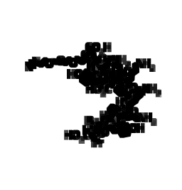 CCC(C)C(NC(=O)C(Cc1ccc(O)cc1)NC(=O)C1CCCN1C(=O)C(CCCN)NC(=O)C(CCCNN)NC(=O)C1CCCN1C(=O)C(CCCCN)NC(=O)C(CC(N)=O)NC(=O)C(CC(=O)O)NC(=O)C(Cc1ccc(O)cc1)NC(=O)C(CC(C)C)NC(=O)C(CCC(=O)O)NC(=O)CCOCCOCCOCCN=[N+]=[N-])C(=O)NC(CC(C)C)C(=O)O